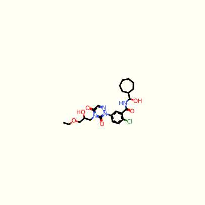 CCOCC(O)Cn1c(=O)cnn(-c2ccc(Cl)c(C(=O)NC(O)C3CCCCCC3)c2)c1=O